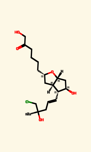 CCCCC(O)(CCl)CC=C[C@@H]1[C@H]2C[C@H](CCCCC(=O)CO)O[C@@H]2C[C@H]1O